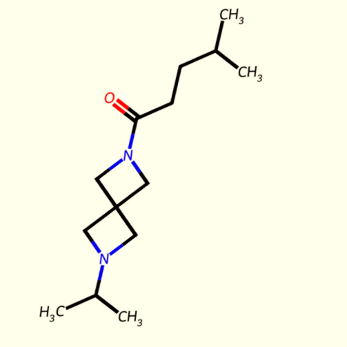 CC(C)CCC(=O)N1CC2(C1)CN(C(C)C)C2